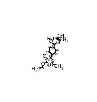 CCOC(=O)[N+]([O-])=C(SCC)C1CCN(C(=O)OC(C)(C)C)CC1